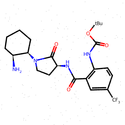 CC(C)(C)OC(=O)Nc1ccc(C(F)(F)F)cc1C(=O)N[C@H]1CCN([C@@H]2CCCC[C@@H]2N)C1=O